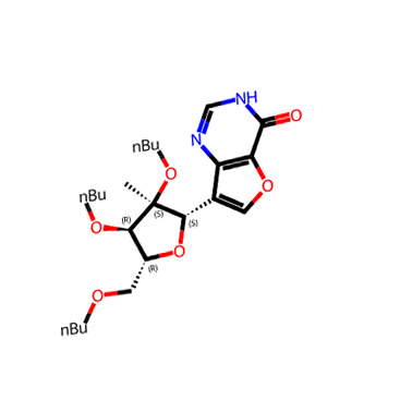 CCCCOC[C@H]1O[C@@H](c2coc3c(=O)[nH]cnc23)[C@](C)(OCCCC)[C@@H]1OCCCC